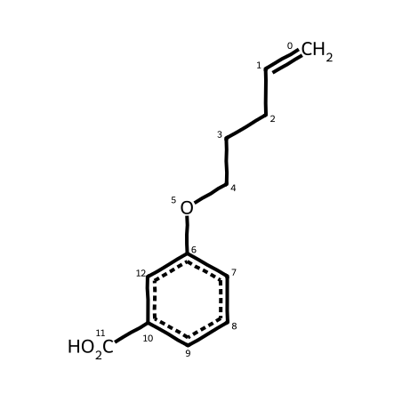 C=CCCCOc1cccc(C(=O)O)c1